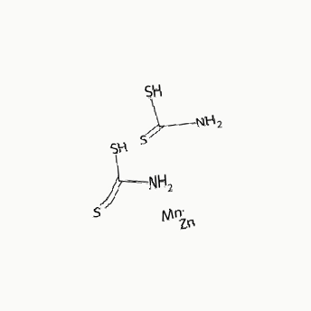 NC(=S)S.NC(=S)S.[Mn].[Zn]